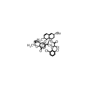 CCC(Oc1c(Cl)cccc1Cl)C(=O)O[C@H]1C[C@H](C(C)(C)C)C=C2C=C[C@H](C)[C@](CC[C@@H]3C[C@H](C(C)(C)C)C(O[SiH](C)C)C(=O)O3)(O[SiH](C)C)[C@H]21